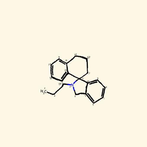 CCCN1Cc2ccccc2C12CCCc1ccccc12